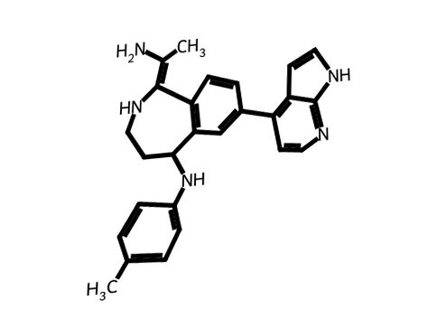 C/C(N)=C1/NCCC(Nc2ccc(C)cc2)c2cc(-c3ccnc4[nH]ccc34)ccc21